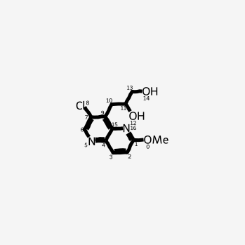 COc1ccc2ncc(Cl)c(CC(O)CO)c2n1